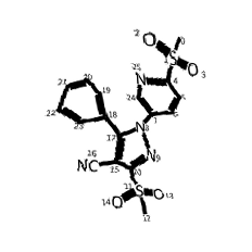 CS(=O)(=O)c1ccc(-n2nc(S(C)(=O)=O)c(C#N)c2-c2ccccc2)cn1